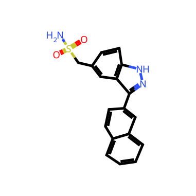 NS(=O)(=O)Cc1ccc2[nH]nc(-c3ccc4ccccc4c3)c2c1